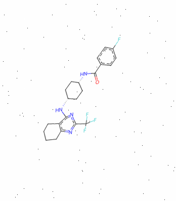 O=C(N[C@H]1CC[C@@H](Nc2nc(C(F)(F)F)nc3c2CCCC3)CC1)c1ccc(F)cc1